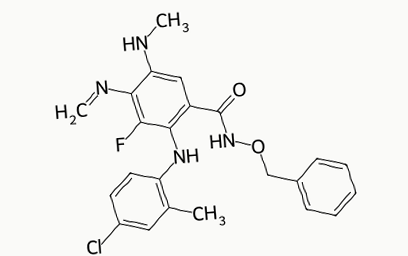 C=Nc1c(NC)cc(C(=O)NOCc2ccccc2)c(Nc2ccc(Cl)cc2C)c1F